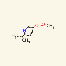 COCOc1ccc(C(C)C)nc1